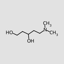 CN(C)CCC(O)CCO